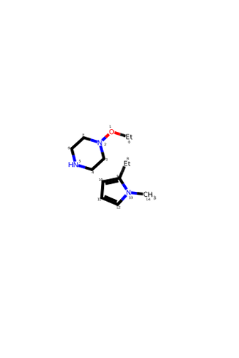 CCON1CCNCC1.CCc1cccn1C